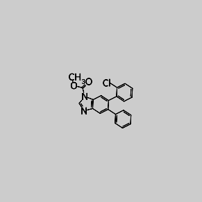 COC(=O)n1cnc2cc(-c3ccccc3)c(-c3ccccc3Cl)cc21